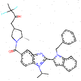 CC(C)n1c(-c2cc3ccccc3n2Cc2ccccc2)nc2cc(C(=O)N3CC(CC(=O)C(C)(F)F)C[C@@H]3C)ccc21